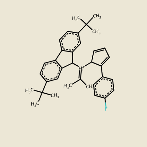 C[C](C)=[Hf]([CH]1C=CC=C1c1ccc(F)cc1)[CH]1c2cc(C(C)(C)C)ccc2-c2ccc(C(C)(C)C)cc21